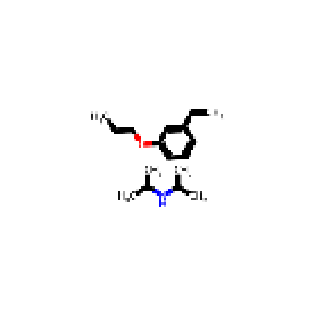 C=Cc1cccc(OCCC)c1.CC(C)NC(C)C